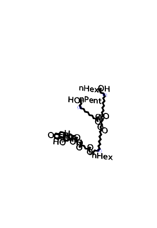 CCCCCC[C@@H](O)C/C=C\CCCCCCCC(=O)OCC(COC(=O)CCCCCCC/C=C\C[C@@H](CCCCCC)OC(=O)CCC(=O)OCC(=O)[C@@]1(O)[C@H](C)C[C@H]2[C@@H]3CCC4=CC(=O)C=C[C@]4(C)[C@@]3(F)[C@@H](O)C[C@@]21C)OC(=O)CCCCCC/C=C\C[C@H](O)CCCCC